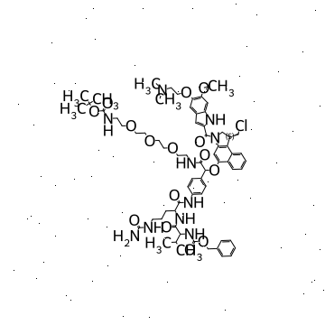 COc1cc2[nH]c(C(=O)N3C[C@@H](CCl)c4c3cc(OC(C(=O)NCCOCCOCCOCCNC(=O)OC(C)(C)C)c3ccc(NC(=O)C(CCCNC(N)=O)NC(=O)C(NC(=O)OCc5ccccc5)C(C)C)cc3)c3ccccc43)cc2cc1OCCN(C)C